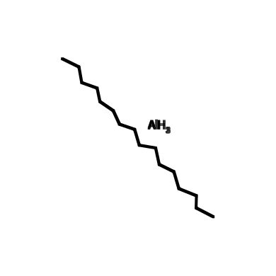 CCCCCCCCCCCCCCCC.[AlH3]